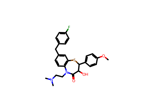 COc1ccc(C2Sc3cc(Cc4ccc(F)cc4)ccc3N(CCN(C)C)C(=O)C2O)cc1